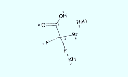 O=C(O)C(F)(F)Br.[KH].[NaH]